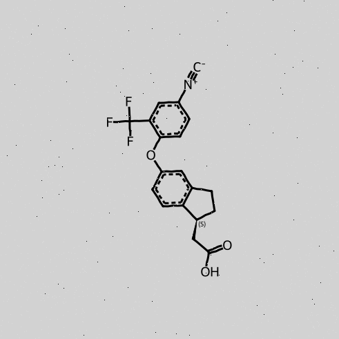 [C-]#[N+]c1ccc(Oc2ccc3c(c2)CC[C@H]3CC(=O)O)c(C(F)(F)F)c1